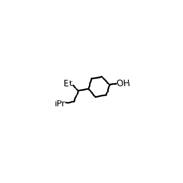 CCC(CC(C)C)C1CCC(O)CC1